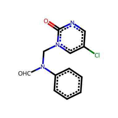 O=CN(Cn1cc(Cl)cnc1=O)c1ccccc1